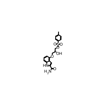 Cc1ccc(S(=O)(=O)OC[C@H](O)COc2cccc3[nH]c(C(N)=O)cc23)cc1